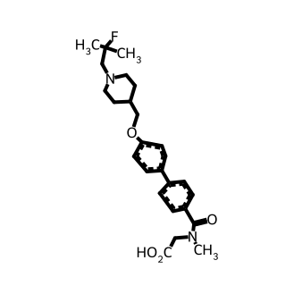 CN(CC(=O)O)C(=O)c1ccc(-c2ccc(OCC3CCN(CC(C)(C)F)CC3)cc2)cc1